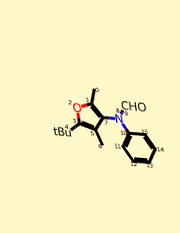 Cc1oc(C(C)(C)C)c(C)c1N(C=O)c1ccccc1